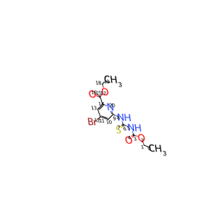 CCOC(=O)NC(=S)Nc1cc(Br)cc(C(=O)OCC)n1